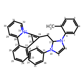 Cc1ccccc1N1C=CN(c2ccccc2)C1CC1=C2C1c1ccccc1-c1cccc[n+]12